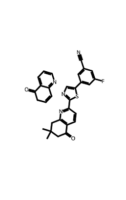 CC1(C)CC(=O)c2ccc(-c3ncc(-c4cc(F)cc(C#N)c4)s3)nc2C1.O=C1CC=Cc2ncccc21